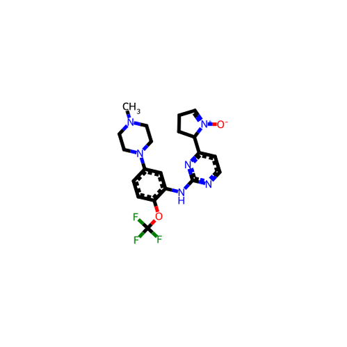 CN1CCN(c2ccc(OC(F)(F)F)c(Nc3nccc(C4CCC=[N+]4[O-])n3)c2)CC1